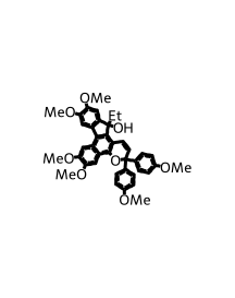 CCC1(O)c2cc(OC)c(OC)cc2-c2c1c1c(c3cc(OC)c(OC)cc23)OC(c2ccc(OC)cc2)(c2ccc(OC)cc2)C=C1